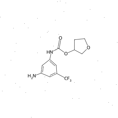 Nc1cc(NC(=O)OC2CCOC2)cc(C(F)(F)F)c1